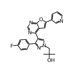 CC(C)(O)Cn1cc(-c2ncnc3oc(-c4cccnc4)cc23)c(-c2ccc(F)cc2)n1